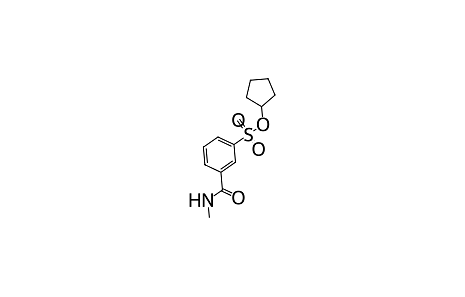 CNC(=O)c1cccc(S(=O)(=O)OC2CCCC2)c1